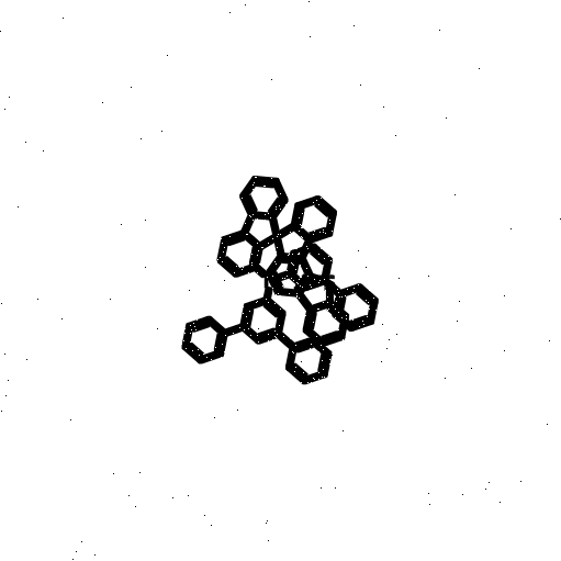 c1ccc(-c2cccc(N(c3cc(-c4ccccc4)cc(-c4ccccc4)c3)c3cccc4c3C3(c5ccccc5-4)c4ccccc4-c4c3ccc3c4sc4ccccc43)c2)cc1